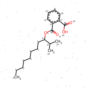 CCCCCCCCC(OC(=O)c1ccccc1C(=O)O)C(C)C